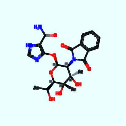 CC(=O)C(O)[C@H]1O[C@@H](Oc2nc[nH]c2C(N)=O)[C@@H](N2C(=O)c3ccccc3C2=O)[C@](O)(C(C)=O)[C@@]1(O)C(C)=O